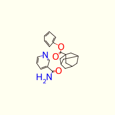 NC(=O)c1cccnc1.O=C(Oc1ccccc1)C12CC3CC(CC(C3)C1)C2